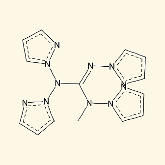 CN(C(=Nn1cccn1)N(n1cccn1)n1cccn1)n1cccn1